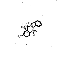 CC1=C[C@@H]2C(=CC1)S(=O)(=O)N1c3ccccc3C[C@@H]1C2(C)C